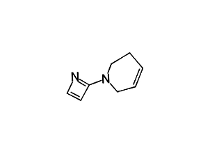 C1=CCN(C2=NC=C2)CC1